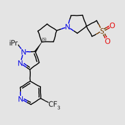 CC(C)n1nc(-c2cncc(C(F)(F)F)c2)cc1[C@H]1CCC(N2CCC3(C2)CS(=O)(=O)C3)C1